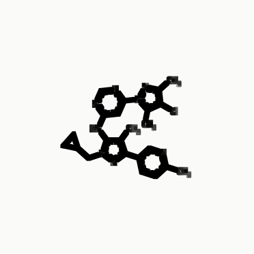 Cc1ccc(-c2nn(CC3CC3)c(Nc3cc(-n4nc(C)c(Cl)c4C)ncn3)c2C)cn1